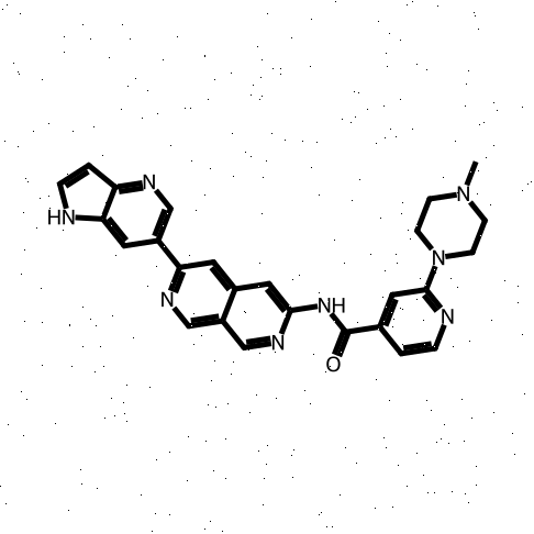 CN1CCN(c2cc(C(=O)Nc3cc4cc(-c5cnc6cc[nH]c6c5)ncc4cn3)ccn2)CC1